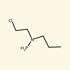 CCCN(P)CCCl